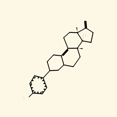 C[C@]12CCC3=C4CCC(c5ccc(Br)cc5)CC4CC[C@H]3[C@@H]1CCC2=O